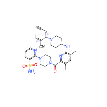 C#C/C=C(\C(C#N)=C/C)N1CCC(Nc2nc(C(=O)N3CCN(c4ncccc4S(N)(=O)=O)CC3)c(C)cc2C)CC1